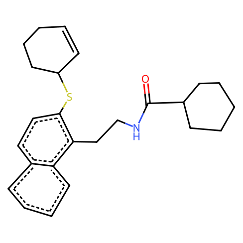 O=C(NCCc1c(SC2C=CCCC2)ccc2ccccc12)C1CCCCC1